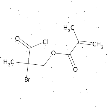 C=C(C)C(=O)OCC(C)(Br)C(=O)Cl